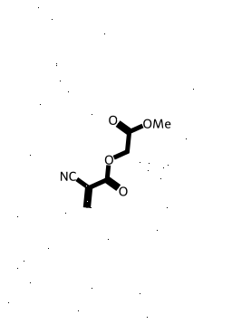 C=C(C#N)C(=O)OCC(=O)OC